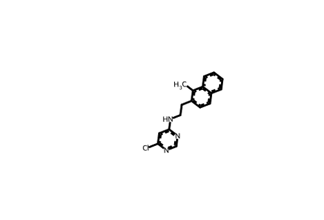 Cc1c(CCNc2cc(Cl)ncn2)ccc2ccccc12